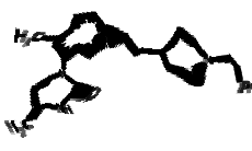 C=C1CCN(c2cc(CCC3CCN(CC(C)C)CC3)ccc2C)C(=O)N1